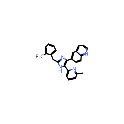 Cc1cccc(-c2[nH]c(Cc3ccccc3C(F)(F)F)nc2-c2ccc3ncccc3c2)n1